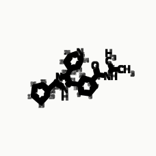 CC(C)NC(=O)c1cccc(-c2[nH]c(-c3ccccc3)nc2-c2ccncc2)c1